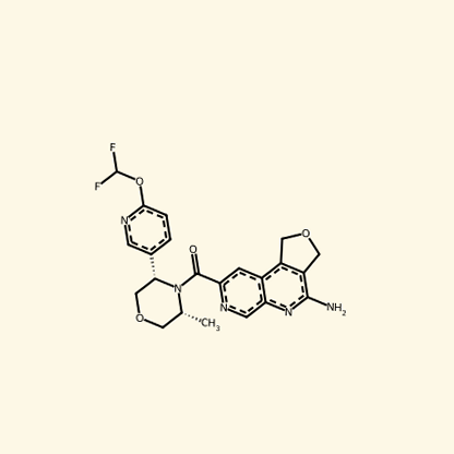 C[C@@H]1COC[C@H](c2ccc(OC(F)F)nc2)N1C(=O)c1cc2c3c(c(N)nc2cn1)COC3